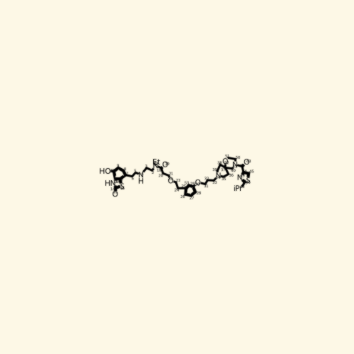 CCN(CCNCCc1ccc(O)c2[nH]c(=O)sc12)C(=O)CCOCCc1cccc(OCCCN2CCC3(CC2)CN(C(=O)c2csc(C(C)C)n2)CCO3)c1